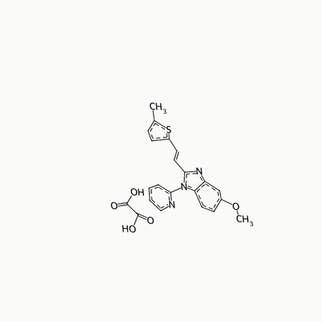 COc1ccc2c(c1)nc(/C=C/c1ccc(C)s1)n2-c1ccccn1.O=C(O)C(=O)O